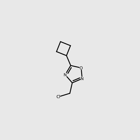 ClCc1noc(C2CCC2)n1